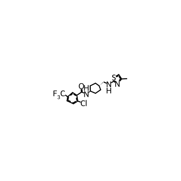 Cc1csc(NC[C@H]2CC[C@H](NC(=O)c3cc(C(F)(F)F)ccc3Cl)CC2)n1